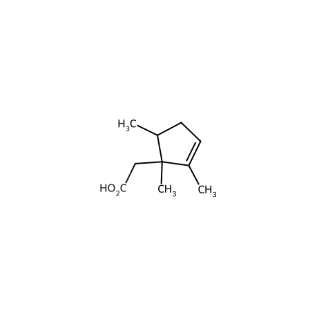 CC1=CCC(C)C1(C)CC(=O)O